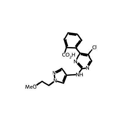 COCCn1cc(Nc2ncc(Cl)c(-c3ccccc3C(=O)O)n2)cn1